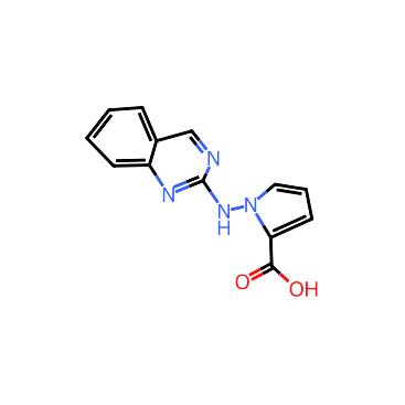 O=C(O)c1cccn1Nc1ncc2ccccc2n1